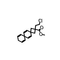 COC(=O)C1(CCCl)CC2(C=CC3(C=CCC=C3)C=C2)C1